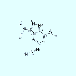 COc1cc(N=[N+]=[N-])cn2c(C(F)F)nnc12